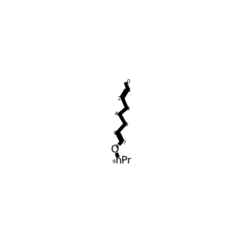 CC=CCCCC=COCCC